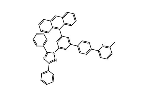 Cc1cccc(-c2ccc(-c3cc(-c4c5ccccc5cc5ccccc45)cc(-n4nc(-c5ccccc5)nc4-c4ccccc4)c3)cc2)n1